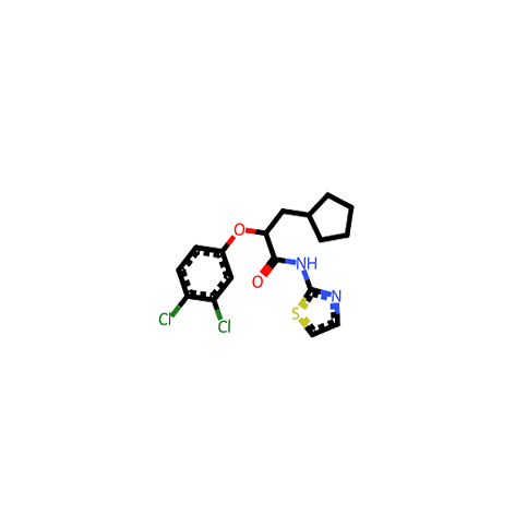 O=C(Nc1nccs1)C(CC1CCCC1)Oc1ccc(Cl)c(Cl)c1